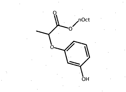 CCCCCCCCOC(=O)C(C)Oc1cccc(O)c1